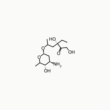 CC[C@](O)(CC(C)O[C@H]1C[C@@H](N)[C@H](O)C(C)O1)C(=O)CO